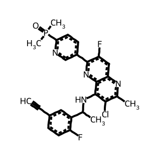 C#Cc1ccc(F)c(C(C)Nc2c(Cl)c(C)nc3cc(F)c(-c4ccc(P(C)(C)=O)nc4)nc23)c1